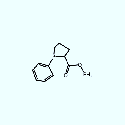 BOC(=O)C1CCCP1c1ccccc1